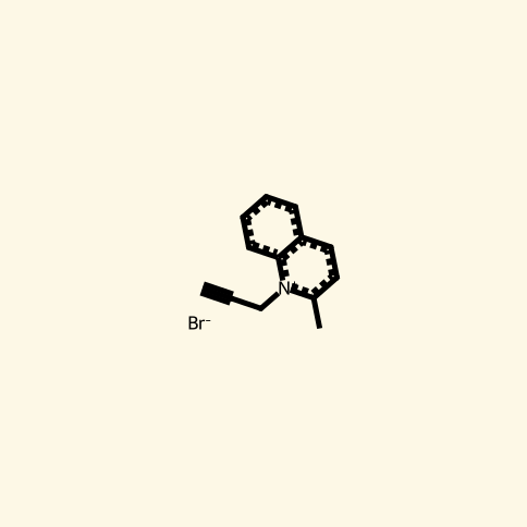 C#CC[n+]1c(C)ccc2ccccc21.[Br-]